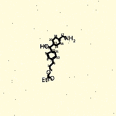 CCC(=O)OCCCc1ccc(C(O)C2CCC(CN)CC2)cc1